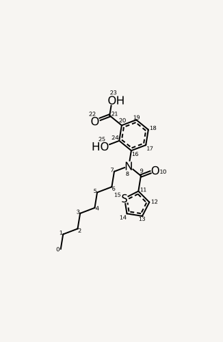 CCCCCCCCN(C(=O)c1cccs1)c1cccc(C(=O)O)c1O